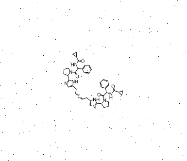 O=C(NC(C(=O)N1CCCC1c1ncc(CC=C=CCc2cnc(C3CCCN3C(=O)C(NC(=O)C3CC3)c3ccccc3)[nH]2)[nH]1)c1ccccc1)C1CC1